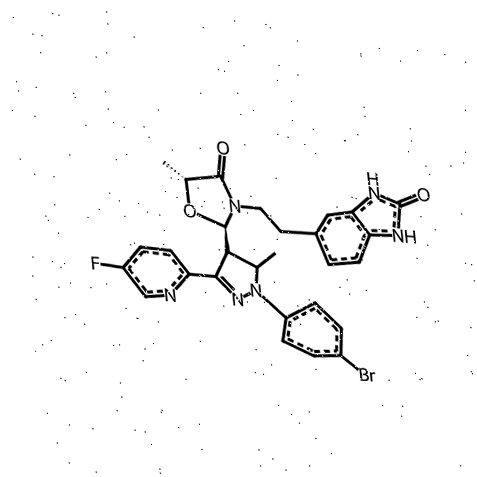 CC1C([C@H]2O[C@H](C)C(=O)N2CCc2ccc3[nH]c(=O)[nH]c3c2)C(c2ccc(F)cn2)=NN1c1ccc(Br)cc1